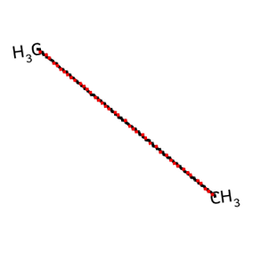 CCCCCCCCCCCCCCCCCCCCCCCCCCCCCCCCCCCCCCCCCCCCCCCCCCCCCCCCCCCCCCCCCCCCCCCCCCCCCCCCCCCCCCCCCCCCCCCCCCCCCCCCC